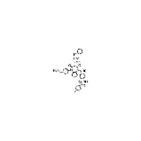 Cc1ccc(S(=O)(=O)Nc2ccc(CN3C(=O)C(CC(=O)NCc4ccccc4F)C(=O)N(c4ccc(CN)cc4)c4ccccc43)cc2)cc1.Cl